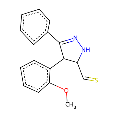 COc1ccccc1C1C(c2ccccc2)=NNC1C=S